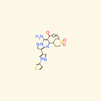 CC(=O)c1c(C2CCS(=O)(=O)CC2)nc2c(-c3cnn(-c4ccsc4)c3)cnn2c1N